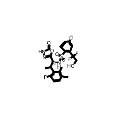 Cc1ccc(F)c(C(C)[C@H](NS(=O)(=O)c2ccc(Cl)cc2C(F)(F)CO)c2n[nH]c(=O)o2)c1C